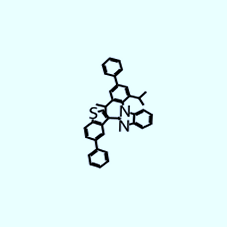 CC(C)c1cc(-c2ccccc2)cc(C(C)C)c1-n1c(-c2csc3ccc(-c4ccccc4)cc23)nc2ccccc21